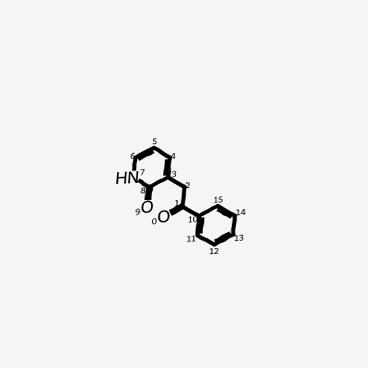 O=C(Cc1ccc[nH]c1=O)c1ccccc1